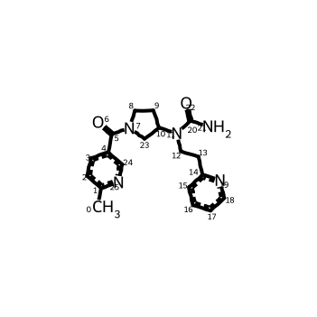 Cc1ccc(C(=O)N2CCC(N(CCc3ccccn3)C(N)=O)C2)cn1